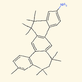 Cc1ccc2c(c1)C(C)(C)CC(C)(C)c1cc3c(cc1-2)C(C)(C)C(C)(C)c1cc(N)ccc1-3